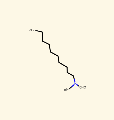 CCCCCCCCCCCCCCCCCCN(C=O)CCC